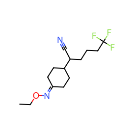 CCON=C1CCC(C(C#N)CCCC(F)(F)F)CC1